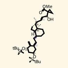 C=C1/C(=C\C=C2/CCC[C@]3(C)[C@@H]([C@H](C)/C=C/[C@@H](O)C4(C(=O)OC)CC4)CC[C@@H]23)C[C@@H](O[Si](C)(C)C(C)(C)C)C[C@@H]1O[Si](C)(C)C(C)(C)C